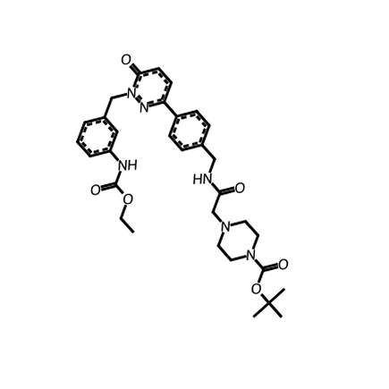 CCOC(=O)Nc1cccc(Cn2nc(-c3ccc(CNC(=O)CN4CCN(C(=O)OC(C)(C)C)CC4)cc3)ccc2=O)c1